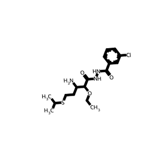 CCOC(C(=O)NNC(=O)c1cccc(Cl)c1)C(N)CCSC(C)C